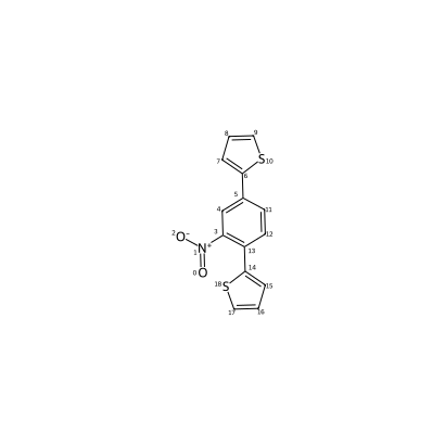 O=[N+]([O-])c1cc(-c2cccs2)ccc1-c1cccs1